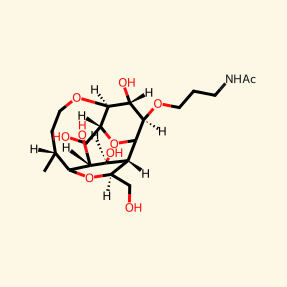 CC(=O)NCCCO[C@H]1C2O[C@H](CO)[C@@H](OCC[C@@H](C)C3O[C@H](CO)[C@@H]2[C@H](O)[C@H]3O)[C@@H]1O